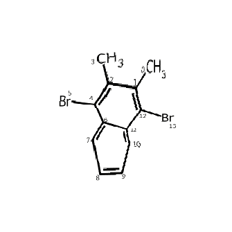 Cc1c(C)c(Br)c2ccccc2c1Br